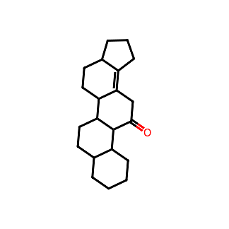 O=C1CC2=C3CCCC3CCC2C2CCC3CCCCC3C12